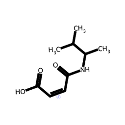 CC(C)C(C)NC(=O)/C=C\C(=O)O